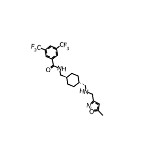 Cc1cc(CNC[C@H]2CC[C@H](CNC(=O)c3cc(C(F)(F)F)cc(C(F)(F)F)c3)CC2)no1